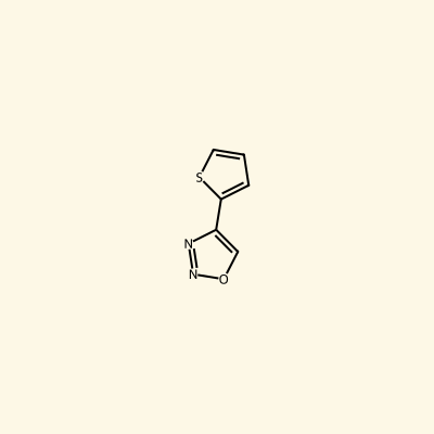 c1csc(-c2conn2)c1